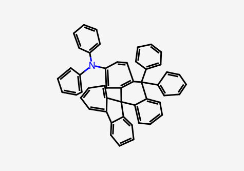 c1ccc(N(c2ccccc2)c2ccc3c(c2)C2(c4ccccc4-c4ccccc42)c2ccccc2C3(c2ccccc2)c2ccccc2)cc1